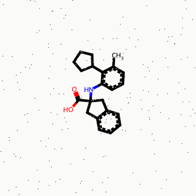 Cc1cccc(NC2(C(=O)O)Cc3ccccc3C2)c1C1CCCC1